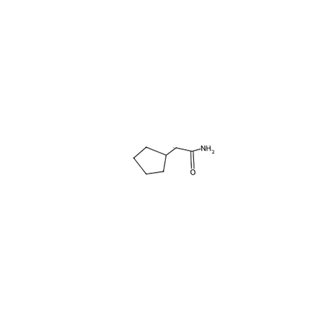 NC(=O)[CH]C1CCCC1